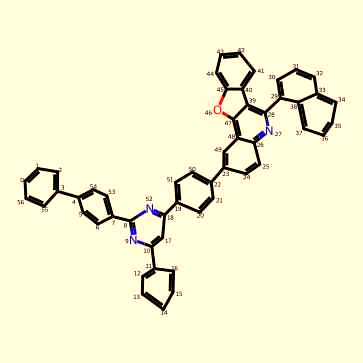 c1ccc(-c2ccc(-c3nc(-c4ccccc4)cc(-c4ccc(-c5ccc6nc(-c7cccc8ccccc78)c7c8ccccc8oc7c6c5)cc4)n3)cc2)cc1